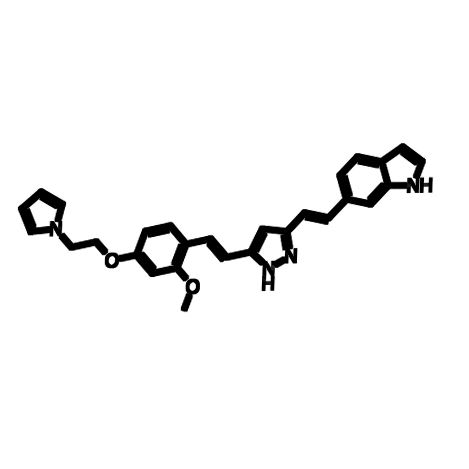 COc1cc(OCCn2cccc2)ccc1C=Cc1cc(C=Cc2ccc3cc[nH]c3c2)n[nH]1